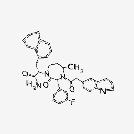 CC1CCN(C(Cc2cccc3ccccc23)C(N)=O)C(=O)C(c2cccc(F)c2)N1C(=O)Cc1ccc2ncccc2c1